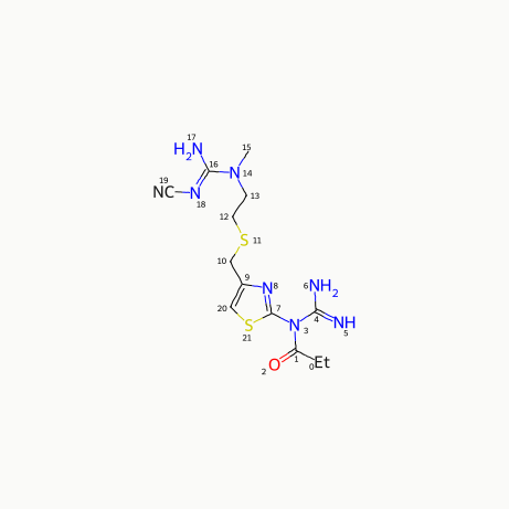 CCC(=O)N(C(=N)N)c1nc(CSCCN(C)C(N)=NC#N)cs1